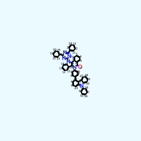 O=c1c2ccccc2c2c(c3ccccc3n2-c2nc(-c3ccccc3)nc(-c3ccccc3)n2)n1-c1ccc(-c2cccc3c2c2ccccc2n3-c2ccccc2)cc1